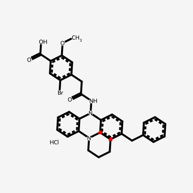 COc1cc(CC(=O)NN(c2ccc(Cc3ccccc3)cc2)c2ccccc2N2CCCCC2)c(Br)cc1C(=O)O.Cl